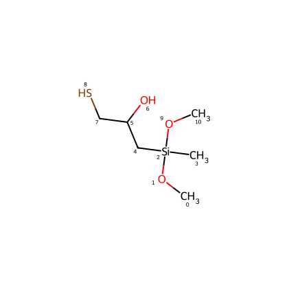 CO[Si](C)(CC(O)CS)OC